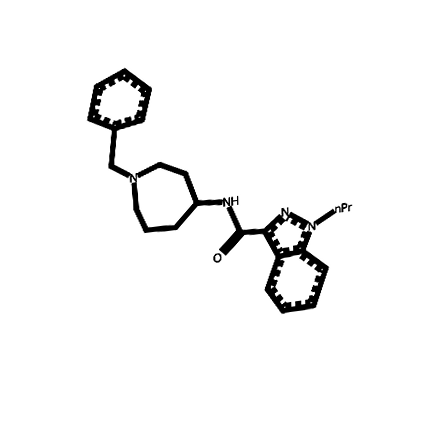 CCCn1nc(C(=O)NC2CCCN(Cc3ccccc3)CC2)c2ccccc21